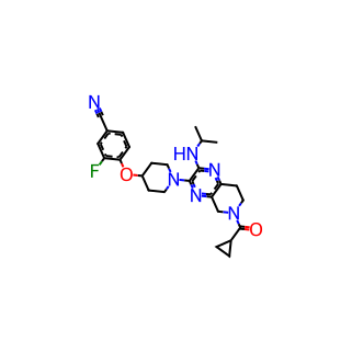 CC(C)Nc1nc2c(nc1N1CCC(Oc3ccc(C#N)cc3F)CC1)CN(C(=O)C1CC1)CC2